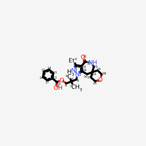 CCc1nn(CC(C)(C)COC(O)c2ccccc2)c2c1C(=O)NCC1(CCOCC1)C2